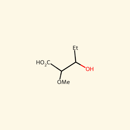 CCC(O)C(OC)C(=O)O